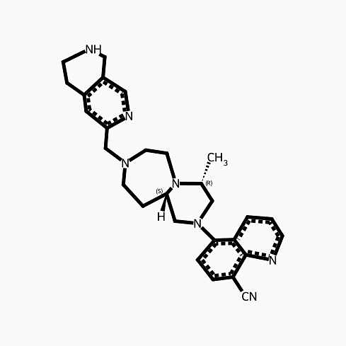 C[C@@H]1CN(c2ccc(C#N)c3ncccc23)C[C@@H]2CCN(Cc3cc4c(cn3)CNCC4)CCN21